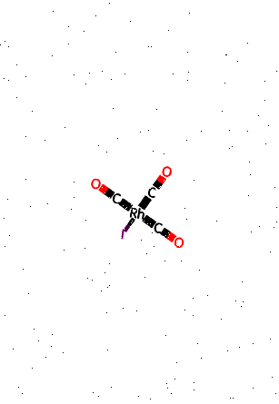 O=[C]=[Rh]([I])(=[C]=O)=[C]=O